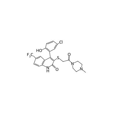 CN1CCN(C(=O)CSc2c(-c3cc(Cl)ccc3O)c3cc(C(F)(F)F)ccc3[nH]c2=O)CC1